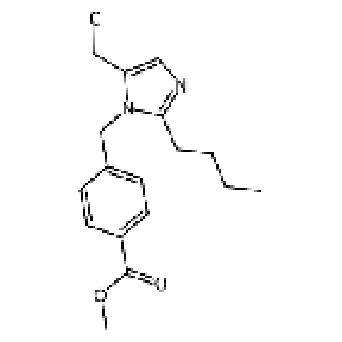 CCCCc1ncc(CCl)n1Cc1ccc(C(=O)OC)cc1